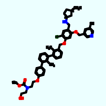 Cc1c(COc2cc(OCc3cncc(C#N)c3)c(CN[C@H]3CC[C@@H](C(=O)O)C3)cc2Cl)cccc1-c1cccc(-c2ccc(OCCN(CCO)C(=O)OC(C)(C)C)cc2)c1C